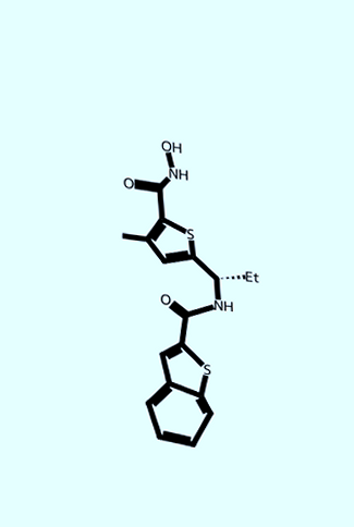 CC[C@H](NC(=O)c1cc2ccccc2s1)c1cc(C)c(C(=O)NO)s1